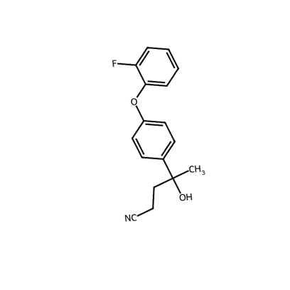 CC(O)(CCC#N)c1ccc(Oc2ccccc2F)cc1